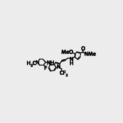 CNC(=O)c1ccc(NCC#Cc2cc3c(NC4CCN(C)CC4F)cccc3n2CC(F)(F)F)c(OC)c1